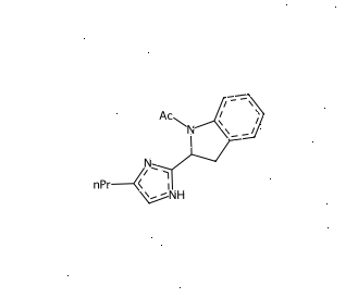 CCCc1c[nH]c(C2Cc3ccccc3N2C(C)=O)n1